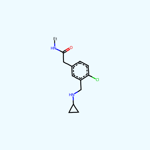 CCNC(=O)Cc1ccc(Cl)c(CNC2CC2)c1